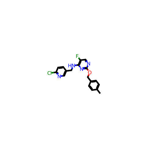 Cc1ccc(COc2ncc(F)c(NCc3ccc(Cl)nc3)n2)cc1